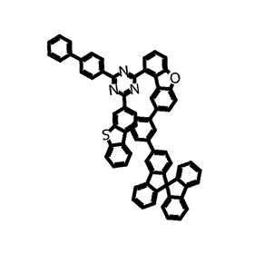 c1ccc(-c2ccc(-c3nc(-c4ccc5c(c4)sc4ccccc45)nc(-c4cccc5oc6ccc(-c7cccc(-c8ccc9c(c8)-c8ccccc8C98c9ccccc9-c9ccccc98)c7)cc6c45)n3)cc2)cc1